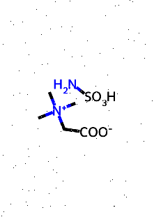 C[N+](C)(C)CC(=O)[O-].NS(=O)(=O)O